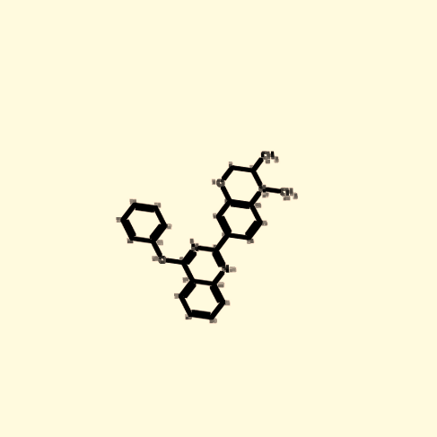 CC1COc2cc(-c3nc(Oc4ccccc4)c4ccccc4n3)ccc2N1C